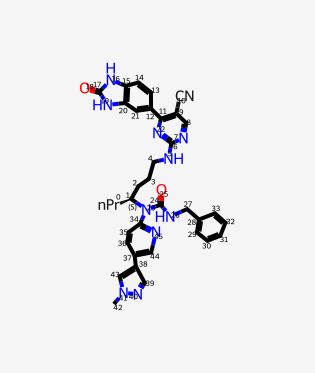 CCC[C@@H](CCCNc1ncc(C#N)c(-c2ccc3[nH]c(=O)[nH]c3c2)n1)N(C(=O)NCc1ccccc1)c1ccc(-c2cnn(C)c2)cn1